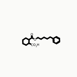 O=C(O)C1CCCCC1C(=O)OCCCCCc1ccccc1